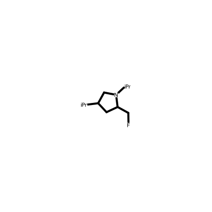 CC(C)C1CC(CF)N(C(C)C)C1